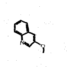 COc1[c]c2ccccc2nc1